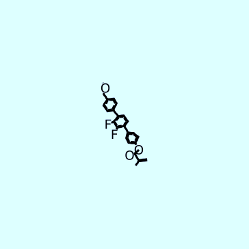 C=C(C)C(=O)Oc1ccc(-c2ccc(-c3ccc(COC)cc3)c(F)c2F)cc1